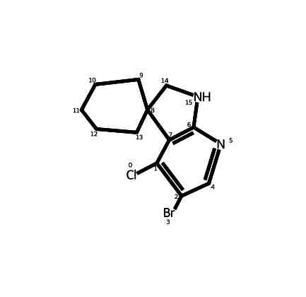 Clc1c(Br)cnc2c1C1(CCCCC1)CN2